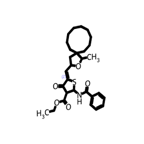 CCOC(=O)C1C(=O)/C(=C/C2CC3(CCCCCCCCC3)C(C)O2)SC1NC(=O)c1ccccc1